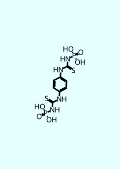 O=P(O)(O)NC(=S)Nc1ccc(NC(=S)NP(=O)(O)O)cc1